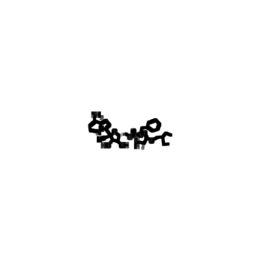 CCC(CC)COC(=O)[C@H](C)N[P@@](=O)(OCc1ccccc1)OC[C@H]1O[C@@](C#N)(c2ccc3c(N)ccnn23)[C@H](O)[C@@H]1O